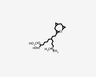 CCCCCCCCCCC(CCCCC(CCCN(C)C)CCC1CC1CC1CC1CC1CC1CC)OC(=O)O